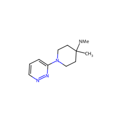 CNC1(C)CCN(c2cccnn2)CC1